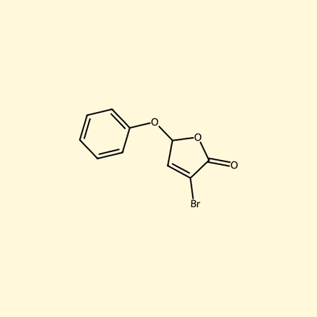 O=C1OC(Oc2ccccc2)C=C1Br